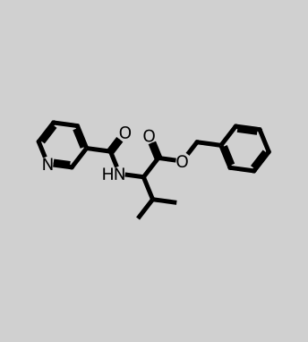 CC(C)C(NC(=O)c1cccnc1)C(=O)OCc1ccccc1